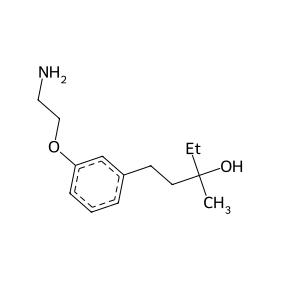 CCC(C)(O)CCc1cccc(OCCN)c1